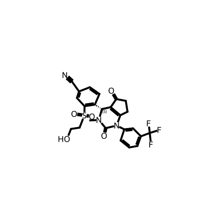 CN1C(=O)N(c2cccc(C(F)(F)F)c2)C2=C(C(=O)CC2)[C@H]1c1ccc(C#N)cc1S(=O)(=O)CCO